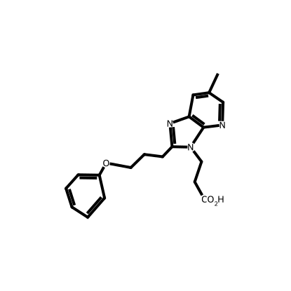 Cc1cnc2c(c1)nc(CCCOc1ccccc1)n2CCC(=O)O